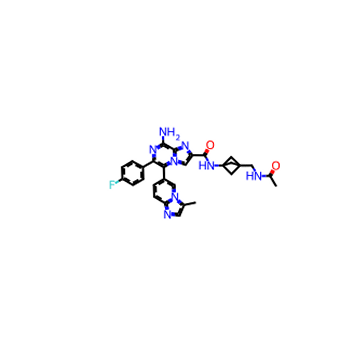 CC(=O)NCC12CC(NC(=O)c3cn4c(-c5ccc6ncc(C)n6c5)c(-c5ccc(F)cc5)nc(N)c4n3)(C1)C2